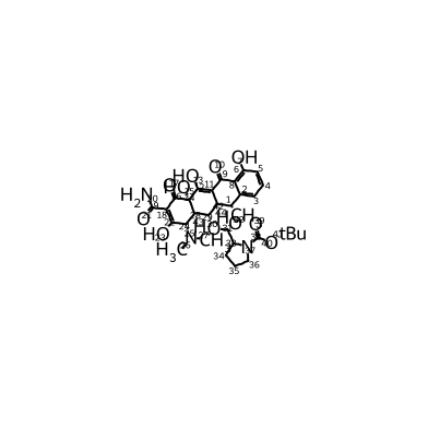 C[C@H]1c2cccc(O)c2C(=O)C2=C(O)[C@]3(O)C(=O)C(C(N)=O)=C(O)[C@@H](N(C)C)[C@@H]3[C@@H](OC(=O)C3CCCN3C(=O)OC(C)(C)C)[C@@H]21